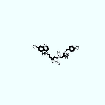 CN(CCNCc1cn(Cc2ccc(Cl)cc2)nn1)CCNc1ccnc2cc(Cl)ccc12